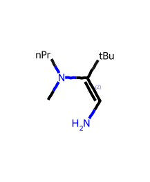 CCCN(C)/C(=C\N)C(C)(C)C